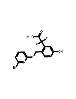 COC(=O)C(F)(F)c1cc(C#N)ccc1COc1cccc(Br)n1